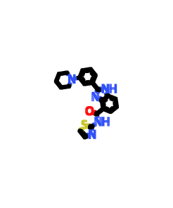 O=C(Nc1nccs1)c1cccc2[nH]c(-c3cccc(N4CCCCC4)c3)nc12